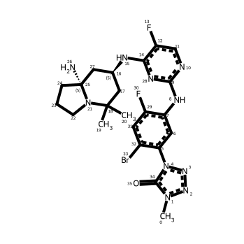 Cn1nnn(-c2cc(Nc3ncc(F)c(N[C@H]4CC(C)(C)N5CCC[C@@]5(N)C4)n3)c(F)cc2Br)c1=O